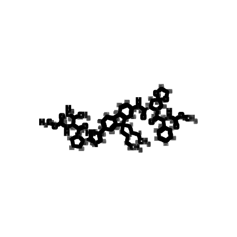 CCCCC1(CCCC)c2cc(NC(=O)[C@@H]3CC4(CN3C(=O)[C@H](NC(=O)OC)c3ccccc3)OCCO4)ccc2-c2ccc(-c3cnc([C@@H]4CCCN4C(=O)[C@@H](NC(=O)OC)C(C)C)[nH]3)cc21